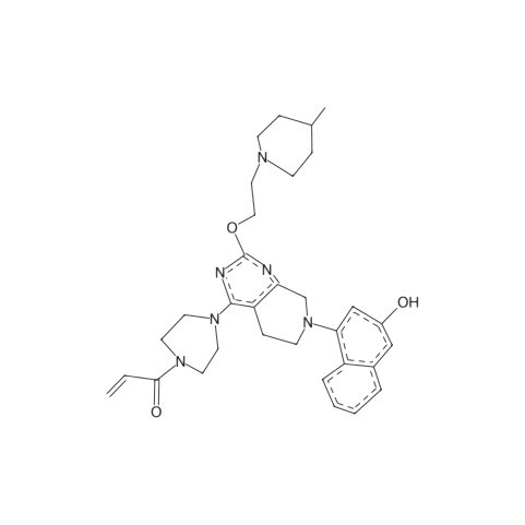 C=CC(=O)N1CCN(c2nc(OCCN3CCC(C)CC3)nc3c2CCN(c2cc(O)cc4ccccc24)C3)CC1